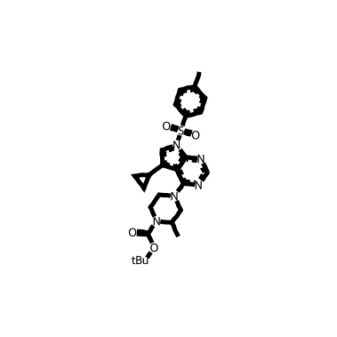 Cc1ccc(S(=O)(=O)n2cc(C3CC3)c3c(N4CCN(C(=O)OC(C)(C)C)C(C)C4)ncnc32)cc1